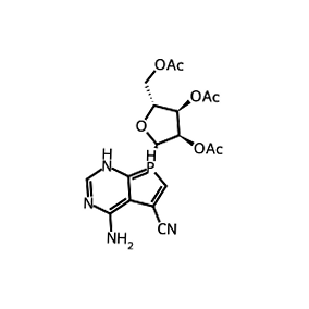 CC(=O)OC[C@H]1O[C@@H]([PH]2=C3NC=NC(N)=C3C(C#N)=C2)[C@H](OC(C)=O)[C@@H]1OC(C)=O